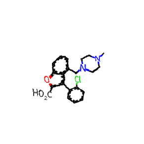 CN1CCN(Cc2cccc3oc(C(=O)O)c(-c4ccccc4Cl)c23)CC1